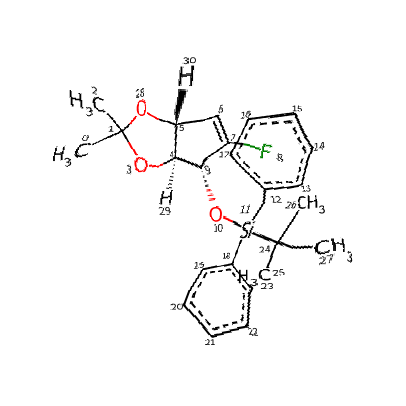 CC1(C)O[C@H]2[C@@H](C=C(F)[C@@H]2O[Si](c2ccccc2)(c2ccccc2)C(C)(C)C)O1